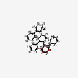 c1cncc(-c2ccccc2-c2cccc(-c3ccccc3-c3cccnc3)c2-c2ccccc2-c2cccnc2)c1